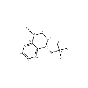 CC(C)(C)[CH][C@H]1OC[C@H](F)c2ccccc21